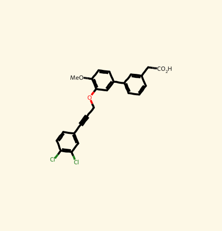 COc1ccc(-c2cccc(CC(=O)O)c2)cc1OCC#Cc1ccc(Cl)c(Cl)c1